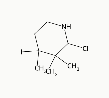 CC1(I)CCNC(Cl)C1(C)C